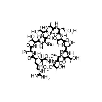 CC[C@H](C)[C@H](NC(=O)[C@@H](NC(=O)[C@@H](NC(=O)[C@H](CCCNC(=N)N)NC(=O)CN)C(C)C)[C@@H](C)O)C(=O)N[C@H](C(=O)N[C@@H](C)C(=O)N[C@@H](CC(=O)O)C(=O)N[C@H](C(=O)N[C@@H](CO)C(=O)N[C@H](C(=O)N[C@@H](CC(=O)O)C(=O)N[C@H](C(=O)O)[C@@H](C)O)[C@@H](C)O)[C@@H](C)O)[C@@H](C)O